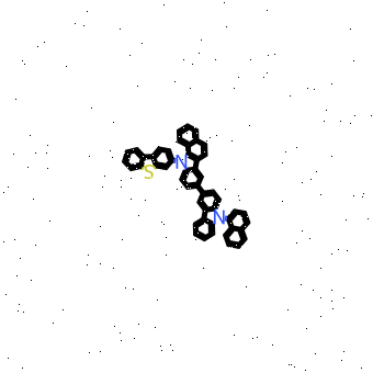 c1ccc2c(-n3c4ccccc4c4cc(-c5ccc6c(c5)c5ccc7ccccc7c5n6-c5ccc6c(c5)sc5ccccc56)ccc43)cccc2c1